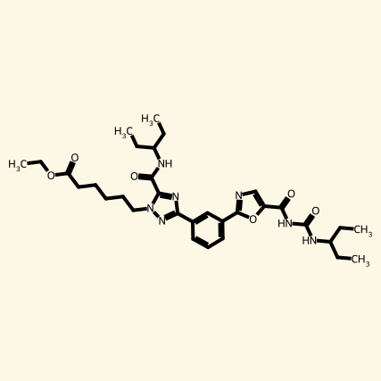 CCOC(=O)CCCCCn1nc(-c2cccc(-c3ncc(C(=O)NC(=O)NC(CC)CC)o3)c2)nc1C(=O)NC(CC)CC